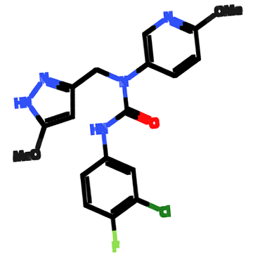 COc1ccc(N(Cc2cc(OC)[nH]n2)C(=O)Nc2ccc(F)c(Cl)c2)cn1